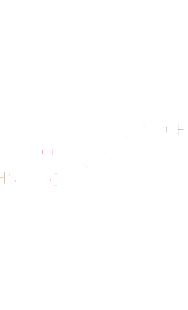 FC(F)(F)c1ccc(-c2ccc(C3OCC(S)CO3)cc2)cc1